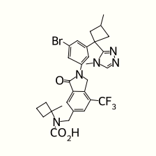 CC1CC(c2cc(Br)cc(N3Cc4c(cc(CN(C(=O)O)C5(C)CCC5)cc4C(F)(F)F)C3=O)c2)(c2nncn2C)C1